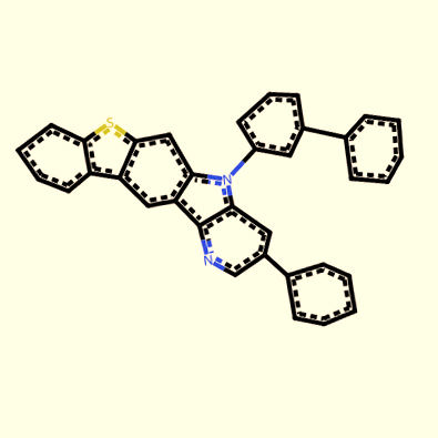 c1ccc(-c2cccc(-n3c4cc5sc6ccccc6c5cc4c4ncc(-c5ccccc5)cc43)c2)cc1